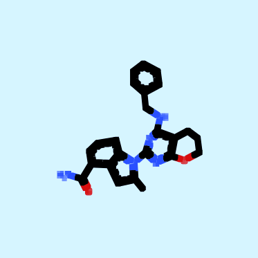 Cc1cc2c(C(N)=O)cccc2n1-c1nc(NCc2ccccc2)c2c(n1)OCCC2